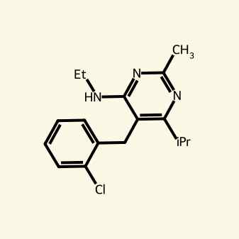 CCNc1nc(C)nc(C(C)C)c1Cc1ccccc1Cl